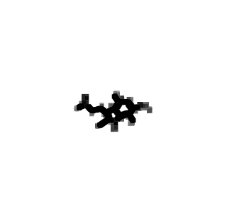 CNCCc1c(C)[nH]c2c(C)c(P)cc(C)c12